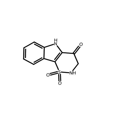 O=C1CNS(=O)(=O)c2c1[nH]c1ccccc21